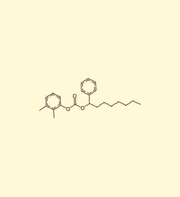 CCCCCCCC(OC(=O)Oc1cccc(C)c1C)c1ccccc1